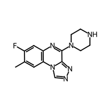 Cc1cc2c(cc1F)nc(N1CCNCC1)c1nncn12